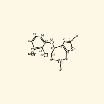 Cc1cc2c(s1)CN(C)CCC2Oc1cccc(Br)c1Cl